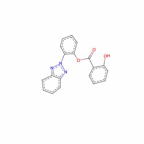 O=C(Oc1ccccc1-n1nc2ccccc2n1)c1ccccc1O